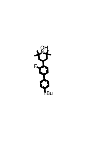 CCCCc1ccc(-c2ccc(C3CC(C)(C)N(O)C(C)(C)C3)c(F)c2)cc1